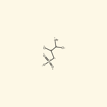 CCCC(Cl)C(Cl)CS([O])(=O)=O